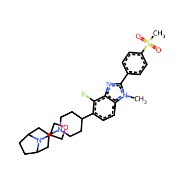 Cn1c(-c2ccc(S(C)(=O)=O)cc2)nc2c(F)c(C3CCN(C4CC5CCC(C4)N5C4COC4)CC3)ccc21